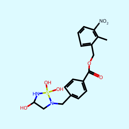 Cc1c(COC(=O)c2ccc(CN3CC(O)NS3(O)O)cc2)cccc1[N+](=O)[O-]